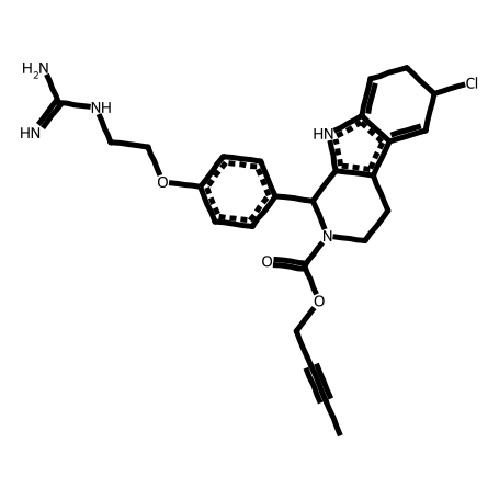 CC#CCOC(=O)N1CCc2c([nH]c3c2=CC(Cl)CC=3)C1c1ccc(OCCNC(=N)N)cc1